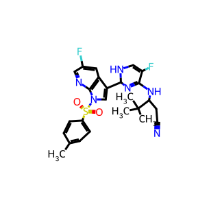 Cc1ccc(S(=O)(=O)n2cc(C3N=C(NC(CC#N)C(C)(C)C)C(F)=CN3)c3cc(F)cnc32)cc1